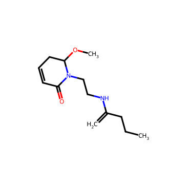 C=C(CCC)NCCN1C(=O)C=CCC1OC